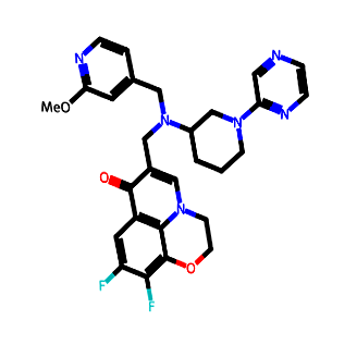 COc1cc(CN(Cc2cn3c4c(c(F)c(F)cc4c2=O)OCC3)C2CCCN(c3cnccn3)C2)ccn1